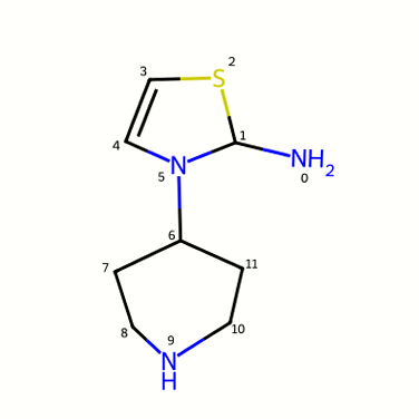 NC1SC=CN1C1CCNCC1